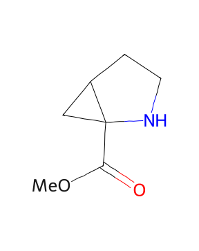 COC(=O)C12CC1CCN2